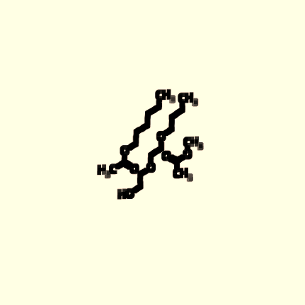 CCCCCCOC(C)=O.CCCCOCCOCCO.COC(C)=O